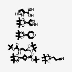 CC(C)(C)OC(=O)N1CC(B2OC(C)(C)C(C)(C)O2)C1.CC(C)(C)OC(=O)NCCB1OC(C)(C)C(C)(C)O1.CC1(C)OB(C2=CCOCC2)OC1(C)C.CC1(C)OB(CCC#N)OC1(C)C.CC1(C)OB(c2cn[nH]c2)OC1(C)C.OB(O)c1cc[nH]n1